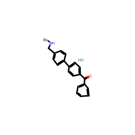 CCC(C)NCc1ccc(-c2ccc(C(=O)c3ccccc3)cc2)cc1.Cl